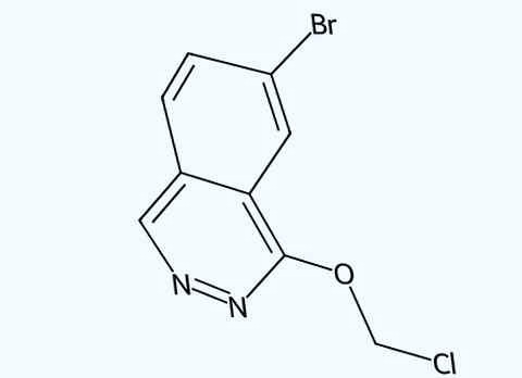 ClCOc1nncc2ccc(Br)cc12